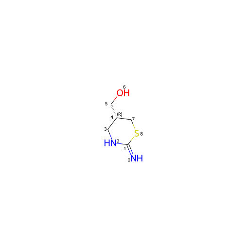 N=C1NC[C@H](CO)CS1